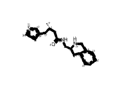 C[C@H](CC(=O)NCC1Cc2ccccc2CN1)Cc1ccsc1